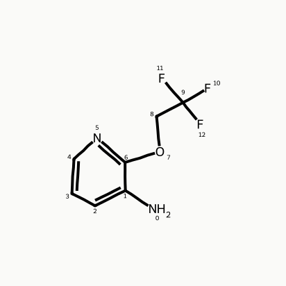 Nc1cccnc1OCC(F)(F)F